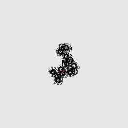 c1ccc(-c2nc(-c3cccc4oc5ccc(-c6ccc7c(c6)c6ccccc6n7-c6ccccc6)cc5c34)c3oc4ccc(-c5cccc6oc7ccccc7c56)cc4c3n2)cc1